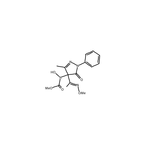 CON=C(C)C1(N(O)C(=O)OC)C(=O)N(c2ccccc2)N=C1C